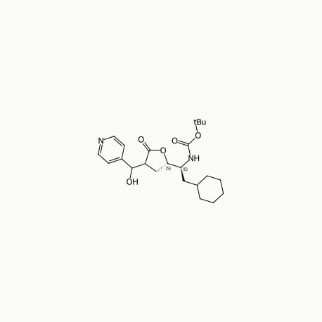 CC(C)(C)OC(=O)N[C@@H](CC1CCCCC1)[C@@H]1CC(C(O)c2ccncc2)C(=O)O1